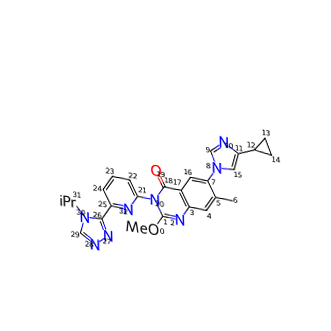 COc1nc2cc(C)c(-n3cnc(C4CC4)c3)cc2c(=O)n1-c1cccc(-c2nncn2C(C)C)n1